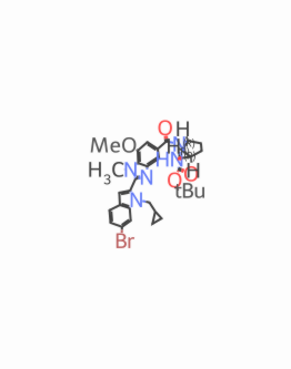 COc1cc(C(=O)N2C[C@H]3CC[C@@H]2[C@@H]3NC(=O)OC(C)(C)C)cc2nc(-c3cc4ccc(Br)cc4n3CC3CC3)n(C)c12